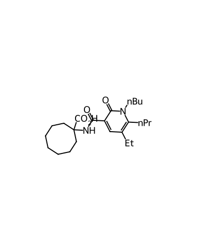 CCCCn1c(CCC)c(CC)cc(C(=O)NC2(C(=O)O)CCCCCCC2)c1=O